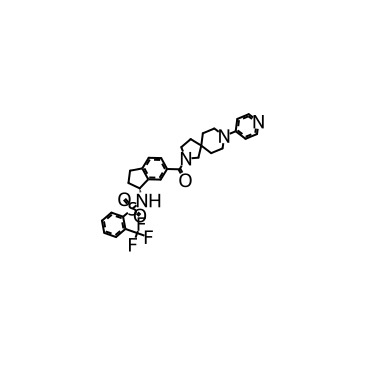 O=C(c1ccc2c(c1)[C@H](NS(=O)(=O)c1ccccc1C(F)(F)F)CC2)N1CCC2(CCN(c3ccncc3)CC2)C1